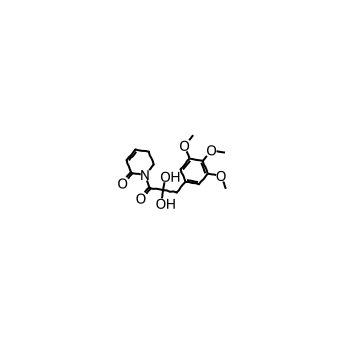 COc1cc(CC(O)(O)C(=O)N2CCC=CC2=O)cc(OC)c1OC